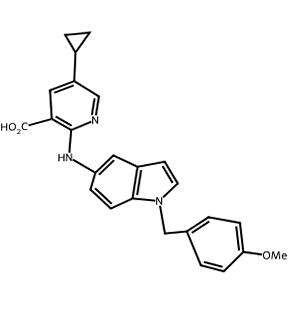 COc1ccc(Cn2ccc3cc(Nc4ncc(C5CC5)cc4C(=O)O)ccc32)cc1